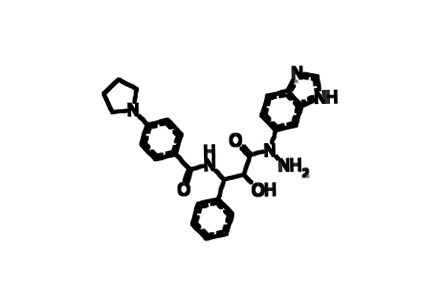 NN(C(=O)C(O)C(NC(=O)c1ccc(N2CCCC2)cc1)c1ccccc1)c1ccc2nc[nH]c2c1